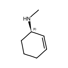 CN[C@H]1C=CCCC1